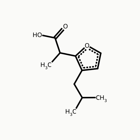 CC(C)Cc1ccoc1C(C)C(=O)O